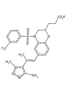 CC(=Cc1ccc2c(c1)N(S(=O)(=O)c1cccc(C(F)(F)F)c1)CC(CCC(=O)O)O2)c1c(C)noc1C